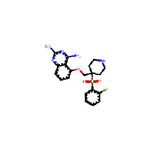 Nc1nc(N)c2c(OCC3(S(=O)(=O)c4ccccc4Cl)CCNCC3)cccc2n1